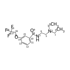 CCN(CC)CCNC(=O)c1cccc(OCC(F)(F)F)c1